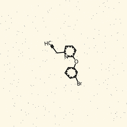 C#C[CH]c1cccc(Oc2cccc(Br)c2)n1